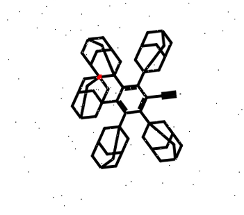 [C]#Cc1c(C23CC4CC(CC(C4)C2)C3)c(C23CC4CC(CC(C4)C2)C3)c(C23CC4CC(CC(C4)C2)C3)c(C23CC4CC(CC(C4)C2)C3)c1C12CC3CC(CC(C3)C1)C2